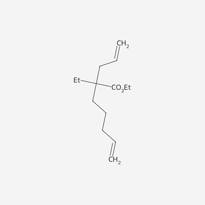 C=CCCCC(CC)(CC=C)C(=O)OCC